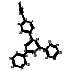 CC#Cc1ccc(-c2cc(-c3ccccn3)nc(-c3ccccn3)c2)cc1